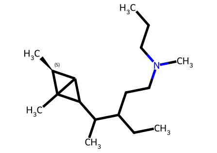 CCCN(C)CCC(CC)C(C)C1C2[C@H](C)C12C